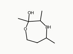 CC1BC(C)C(C)(O)OCC1